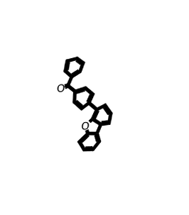 O=C(c1ccccc1)c1ccc(-c2cccc3c2oc2ccccc23)cc1